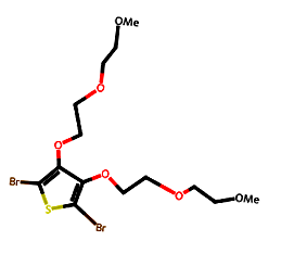 COCCOCCOc1c(Br)sc(Br)c1OCCOCCOC